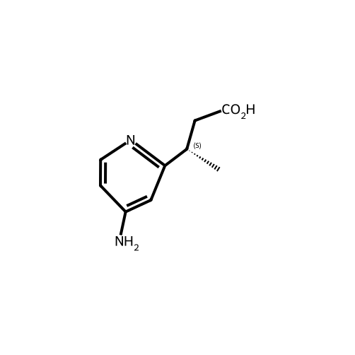 C[C@@H](CC(=O)O)c1cc(N)ccn1